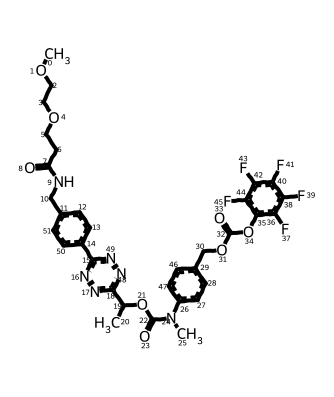 COCCOCCC(=O)NCc1ccc(-c2nnc(C(C)OC(=O)N(C)c3ccc(COC(=O)Oc4c(F)c(F)c(F)c(F)c4F)cc3)nn2)cc1